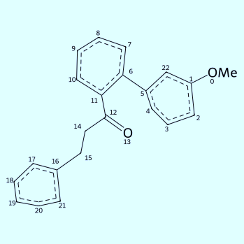 COc1cccc(-c2ccccc2C(=O)CCc2ccccc2)c1